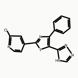 Clc1cc(-c2nc(-c3ccccc3)c(-c3nnc[nH]3)s2)ccn1